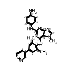 Cc1cc(-c2ccnnc2)cc(C)c1Oc1nc(Nc2ccc(N)cc2)nc2ncn(C)c12